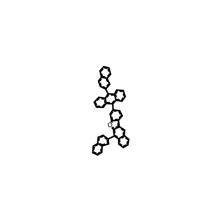 c1ccc2cc(-c3c4ccccc4c(-c4ccc5c(c4)oc4c(-c6ccc7ccccc7c6)c6ccccc6cc45)c4ccccc34)ccc2c1